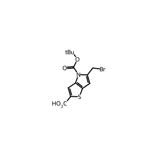 CC(C)(C)OC(=O)n1c(CBr)cc2sc(C(=O)O)cc21